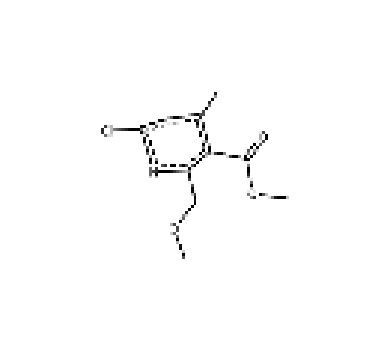 COCc1nc(Cl)cc(C)c1C(=O)OC